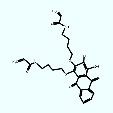 C=CC(=O)NCCCCOc1c(O)c(O)c2c(c1OCCCCNC(=O)C=C)C(=O)c1ccccc1C2=O